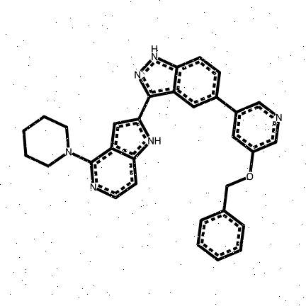 c1ccc(COc2cncc(-c3ccc4[nH]nc(-c5cc6c(N7CCCCC7)nccc6[nH]5)c4c3)c2)cc1